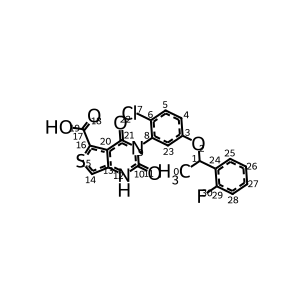 CC(Oc1ccc(Cl)c(-n2c(=O)[nH]c3csc(C(=O)O)c3c2=O)c1)c1ccccc1F